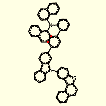 c1ccc(N(c2cccc3ccccc23)c2cccc3ccccc23)c(-c2ccc(-c3ccc4c5ccccc5n(-c5ccc6sc7ccc8ccccc8c7c6c5)c4c3)cc2)c1